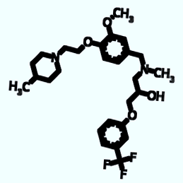 COc1cc(CN(C)CC(O)COc2cccc(C(F)(F)F)c2)ccc1OCCN1CCC(C)CC1